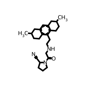 CC1CCc2c(cc3c(c2CCNCC(=O)N2CCCC2C#N)CCC(C)C3)C1